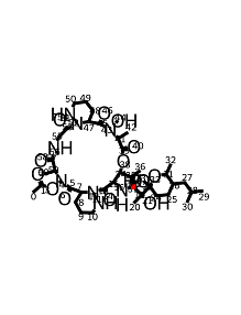 CC(=O)ON1C(=O)C2CCCNN2C(=O)C(NC(=O)C(C)(O)C2(O)CCC(CC(C)C)C(C)O2)C(C(C)C)OC(=O)C(C)N(O)C(=O)C2CCCNN2C(=O)CNC(=O)C1C